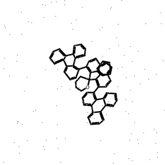 c1ccc2c(C3(c4c(-c5cccc6c7ccccc7c7ccccc7c56)ccc5ccccc45)CCCCO3)c(-c3cccc4c5ccccc5c5ccccc5c34)ccc2c1